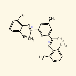 C/C(=N\c1c(C)cccc1C)c1cc(C)cc(/C(C)=N/c2c(C(C)C)cccc2C(C)C)n1